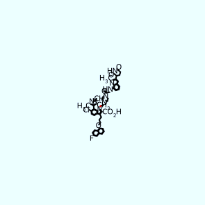 Cc1nc2c(NCC(=O)N3CCN(CCn4c(C(=O)O)c(CCCOc5cccc6cc(F)ccc56)c5ccc(Cl)c(-c6c(C)nn(C)c6C)c54)CC3)cccc2cc1C1CCC(=O)NC1=O